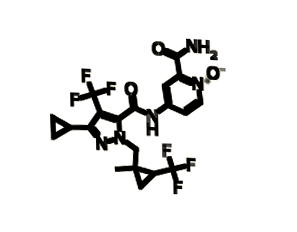 CC1(Cn2nc(C3CC3)c(C(F)(F)F)c2C(=O)Nc2cc[n+]([O-])c(C(N)=O)c2)CC1C(F)(F)F